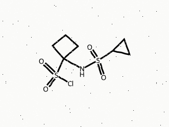 O=S(=O)(NC1(S(=O)(=O)Cl)CCC1)C1CC1